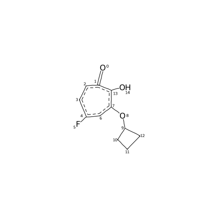 O=c1ccc(F)cc(OC2CCC2)c1O